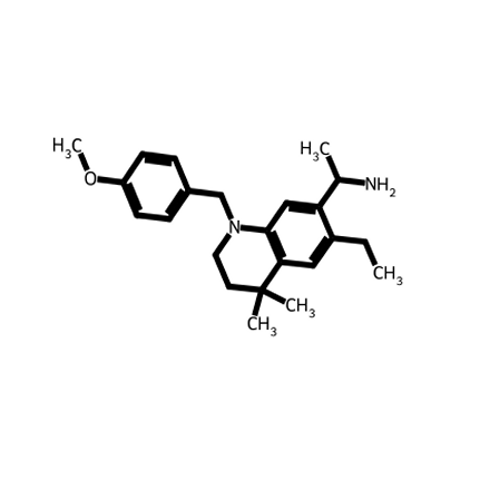 CCc1cc2c(cc1C(C)N)N(Cc1ccc(OC)cc1)CCC2(C)C